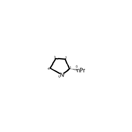 CCC[C@H]1CCC[N]1